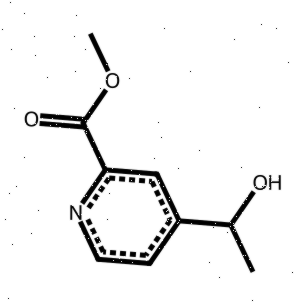 COC(=O)c1cc(C(C)O)ccn1